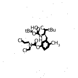 Cc1ccc(OC(=O)N(CCl)CCCl)cc1C[C@@H](NC(=O)OC(C)(C)C)C(C(=O)O)C(C)(C)C